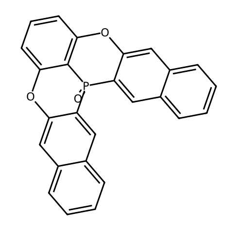 O=P12c3cc4ccccc4cc3Oc3cccc(c31)Oc1cc3ccccc3cc12